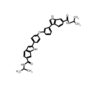 CC(C)NC(=O)c1ccc2cc(-c3ccc(Oc4cccc(-c5c[nH]c6cc(C(=O)NC(C)C)ccc56)c4)cc3)[nH]c2c1